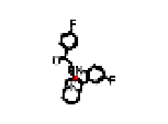 O=C(CCCN1C2CCCC1c1c([nH]c3ccc(F)cc13)C2)c1ccc(F)cc1